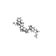 COCCN(C)Cc1ccn2c(-c3cnc(Nc4ccc(C(=O)Nc5ccccc5N)cc4)s3)cnc2c1